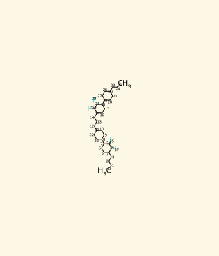 CCCCC1CCC(C2CCC(CCCC3CCC(C4CCC(CCC)CC4)C(F)[C@H]3F)CC2)C(F)[C@H]1F